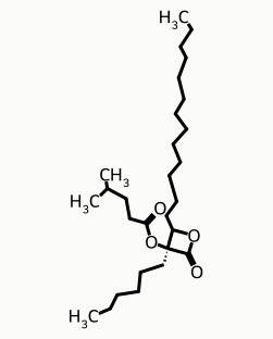 CCCCCCCCCCCCCC1OC(=O)[C@@]1(CCCCCC)OC(=O)CCC(C)C